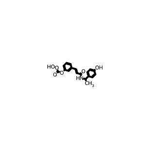 CC(NC(=O)C=Cc1cccc(OC(=O)OO)c1)c1ccc(O)cc1